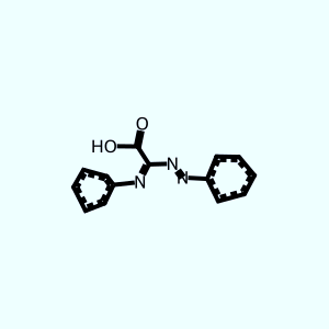 O=C(O)C(N=Nc1ccccc1)=Nc1ccccc1